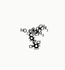 C[C@@H]1OC(C)(C)O[C@H]1C(=O)N[C@@H](Cc1ccc(OCc2c(Cl)cccc2Cl)cc1)C(=O)O